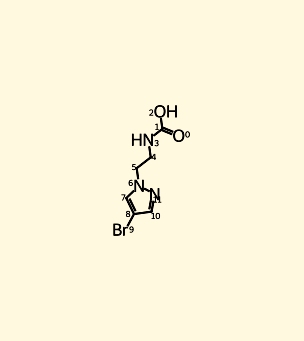 O=C(O)NCCn1cc(Br)cn1